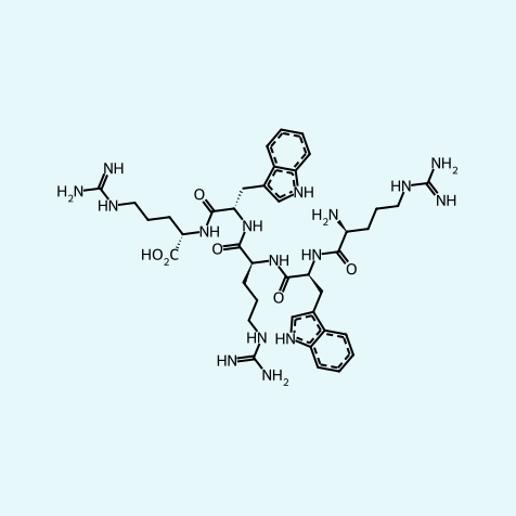 N=C(N)NCCC[C@H](NC(=O)[C@H](Cc1c[nH]c2ccccc12)NC(=O)[C@H](CCCNC(=N)N)NC(=O)[C@H](Cc1c[nH]c2ccccc12)NC(=O)[C@@H](N)CCCNC(=N)N)C(=O)O